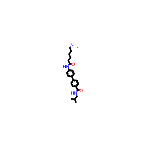 CC(C)CNC(=O)c1ccc(-c2ccc(NC(=O)CCCCCN)cc2)cc1